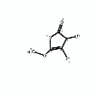 COC1=C(Cl)C(Cl)C(=O)O1